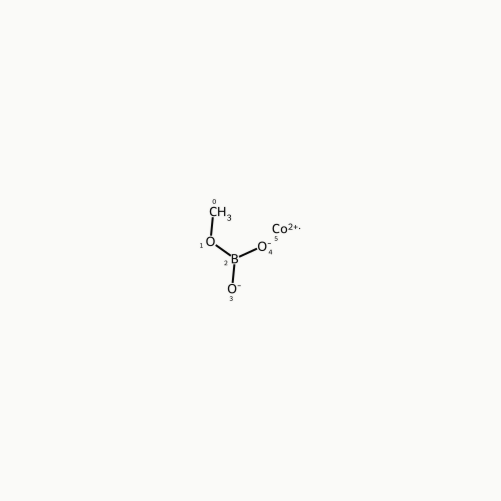 COB([O-])[O-].[Co+2]